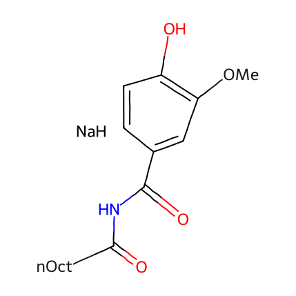 CCCCCCCCC(=O)NC(=O)c1ccc(O)c(OC)c1.[NaH]